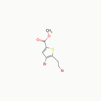 COC(=O)c1cc(Br)c(CCBr)s1